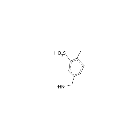 Cc1ccc(C[NH])cc1S(=O)(=O)O